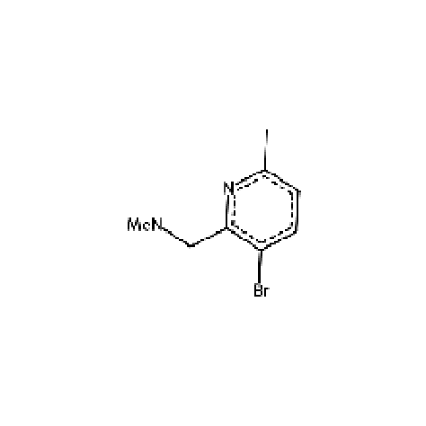 CNCc1nc(C)ccc1Br